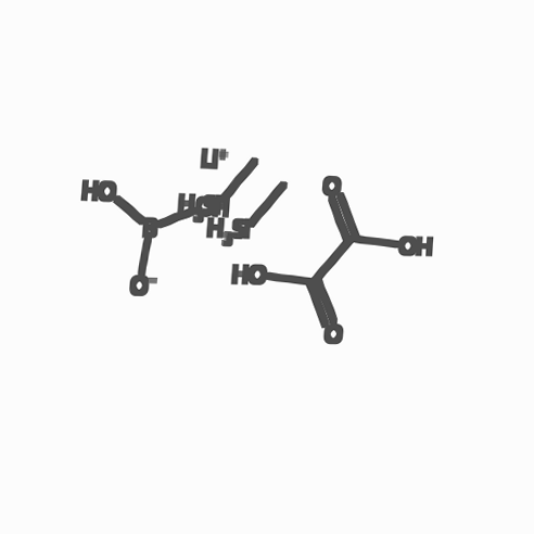 C[SiH3].C[SiH3].O=C(O)C(=O)O.[Li+].[O-]B(O)O